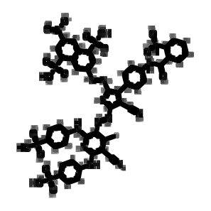 Cc1c(C#N)c(Nc2ccc(S(=O)(=O)O)cc2)nc(Nc2ccc(S(=O)(=O)O)cc2)c1N=Nc1sc(/N=N/c2cc(S(=O)(=O)O)c3cc([N+](=O)[O-])cc(S(=O)(=O)O)c3c2)c(-c2ccc(NC(=O)c3ccccc3[SH](=O)=O)cc2)c1C#N